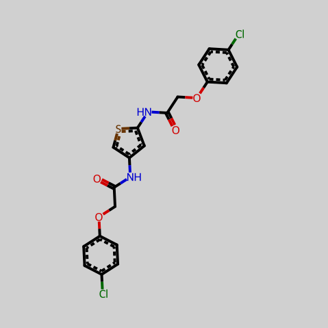 O=C(COc1ccc(Cl)cc1)Nc1csc(NC(=O)COc2ccc(Cl)cc2)c1